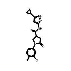 Cc1ccc(N2CC(C(=O)Nc3cc(C4CC4)[nH]n3)CC2=O)cc1Cl